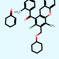 Cc1c(COC2CCCCC2)c(Cl)c(C(=O)c2ccccc2C(=O)O)c2c1Oc1ccccc1C2.O=C1C=CCCC1